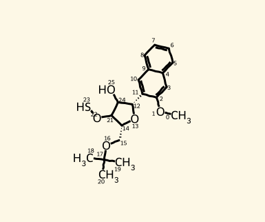 COc1cc2ccccc2cc1[C@@H]1O[C@H](COC(C)(C)C)C(OS)C1O